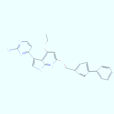 CCOc1cc(OCc2ccc(-c3ccccc3)cc2)nc2[nH]cc(-c3ccnc(N)n3)c12